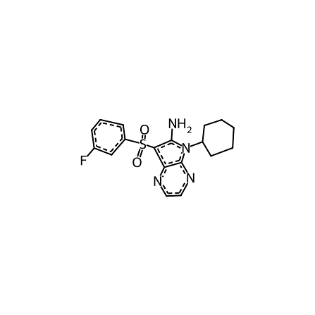 Nc1c(S(=O)(=O)c2cccc(F)c2)c2nccnc2n1C1CCCCC1